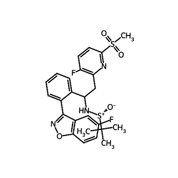 CC(C)(C)[S@+]([O-])NC(Cc1nc(S(C)(=O)=O)ccc1F)c1ccccc1-c1noc2ccc(F)cc12